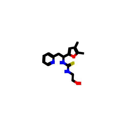 Cc1cc(C(Cc2ccccn2)NC(=S)NCCO)oc1C